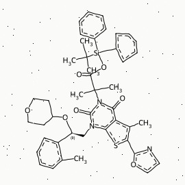 Cc1ccccc1[C@H](Cn1c(=O)n(C(C)(C)C(=O)O[Si](c2ccccc2)(c2ccccc2)C(C)(C)C)c(=O)c2c(C)c(-c3ncco3)sc21)OC1CCOCC1